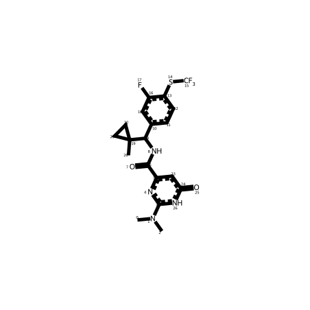 CN(C)c1nc(C(=O)NC(c2ccc(SC(F)(F)F)c(F)c2)C2(C)CC2)cc(=O)[nH]1